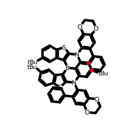 CC(C)(C)c1cc2c3c(c1)N(c1cc4c(cc1-c1ccccc1)OCCO4)c1sc4ccc(C(C)(C)C)cc4c1B3c1c(sc3ccc(C(C)(C)C)cc13)N2c1cc2c(cc1-c1ccccc1)OCCO2